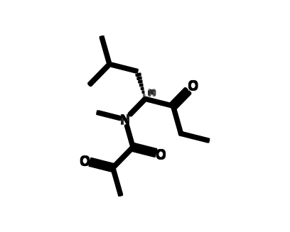 CCC(=O)[C@@H](CC(C)C)N(C)C(=O)C(C)=O